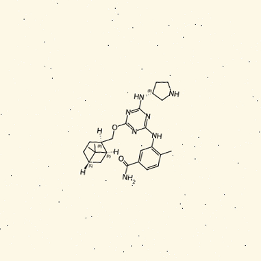 Cc1ccc(C(N)=O)cc1Nc1nc(N[C@@H]2CCNC2)nc(OC[C@@H]2CC[C@H]3C[C@H]2C3(C)C)n1